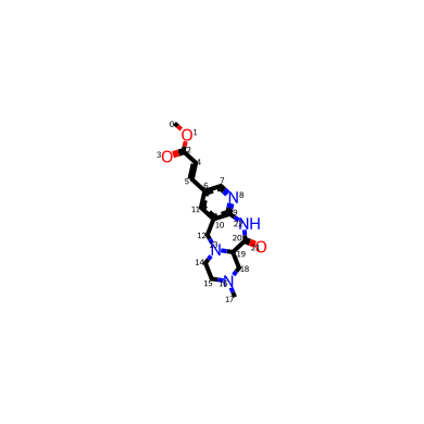 COC(=O)/C=C/c1cnc2c(c1)CN1CCN(C)CC1C(=O)N2